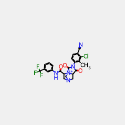 Cc1c(N2C(=O)C3CN4CC(C(=O)Nc5cccc(C(F)(F)F)c5)[N+]3(C4)C2=O)ccc(C#N)c1Cl